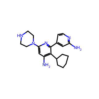 Nc1cc(-c2nc(N3CCNCC3)cc(N)c2C2CCCCC2)ccn1